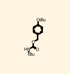 CC(C)COc1ccc(COC(=O)NC(C)(C)C)cc1